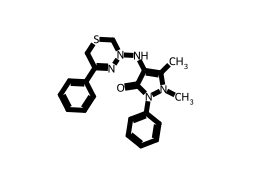 Cc1c(NN2CSCC(c3ccccc3)=N2)c(=O)n(-c2ccccc2)n1C